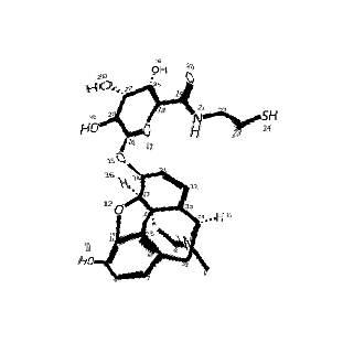 CN1CC[C@]23c4c5ccc(O)c4O[C@H]2[C@@H](O[C@@H]2OC(C(=O)NCCS)[C@@H](O)[C@@H](O)C2O)C=CC3[C@H]1C5